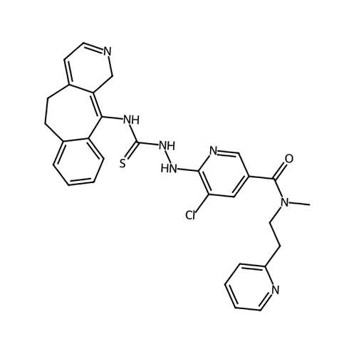 CN(CCc1ccccn1)C(=O)c1cnc(NNC(=S)NC2=C3CN=CC=C3CCc3ccccc32)c(Cl)c1